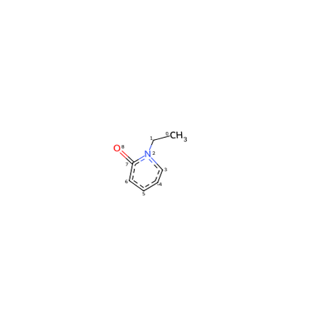 CCn1c[c]ccc1=O